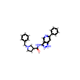 O=C(Nc1n[nH]c2cc(-c3ccccc3)ncc12)C1CCN(Cc2ccccc2)C1